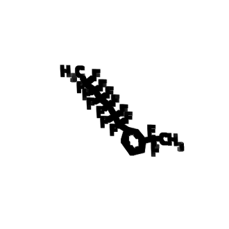 CC(F)(F)c1cccc(C(F)(F)C(F)(F)C(F)(F)C(F)(F)C(F)(F)C(C)(F)F)c1